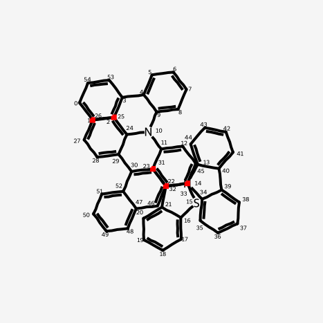 c1ccc(-c2ccccc2N(c2ccc3sc4ccccc4c3c2)c2ccccc2-c2cc(-n3c4ccccc4c4ccccc43)cc3ccccc23)cc1